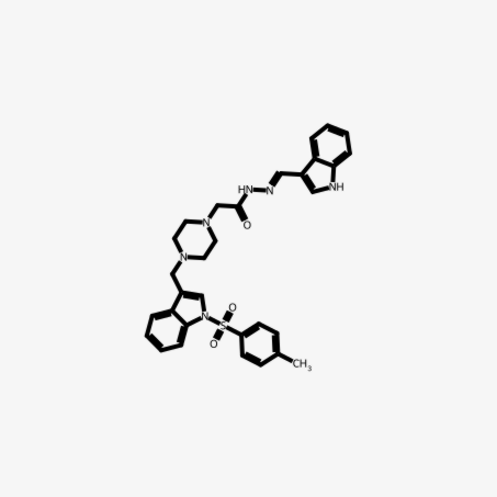 Cc1ccc(S(=O)(=O)n2cc(CN3CCN(CC(=O)NN=Cc4c[nH]c5ccccc45)CC3)c3ccccc32)cc1